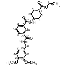 CCOC(=O)N1CCC(NC(=O)c2cccc(C(=O)NCc3ccc(OC)c(OC)c3)n2)CC1